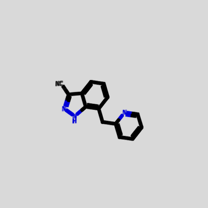 N#Cc1n[nH]c2c(Cc3ccccn3)cccc12